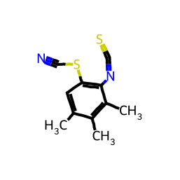 Cc1cc(SC#N)c(N=C=S)c(C)c1C